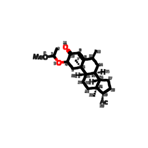 COC(C)OC1C[C@@]2(C)C(=CC1=O)[C@@H](C)C[C@H]1[C@@H]3CC[C@H](C(C)=O)[C@@]3(C)CC[C@@H]12